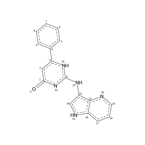 O=c1cc(-c2ccccc2)[nH]c(Nc2c[nH]c3cccnc23)n1